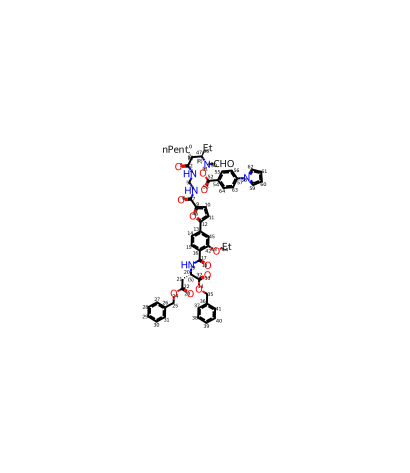 CCCCC[C@@H](C(=O)NCNC(=O)c1ccc(-c2ccc(C(=O)N[C@@H](CC(=O)OCc3ccccc3)C(=O)OCc3ccccc3)c(OCC)c2)o1)[C@@H](CC)N(C=O)OC(=O)c1ccc(-n2cccc2)cc1